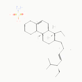 CC[C@H](/C=C/[C@@H](C)[C@H]1CC[C@H]2[C@@H]3CC=C4C[C@@H](OS(N)(=O)=O)CC[C@]4(C)[C@H]3CC[C@]12C)C(C)C